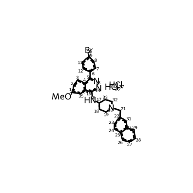 COc1ccc2c(-c3ccc(Br)cc3)nnc(NC3CCN(Cc4ccc5ccccc5c4)CC3)c2c1.Cl.Cl